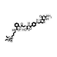 CCOP(=O)(OCC)OCCCCNC(=O)c1ccccc1NC(=O)CC[C@H](NC(=O)c1ccc(NCc2cnc3[nH]c(N)nc(=O)c3n2)cc1)C(=O)O